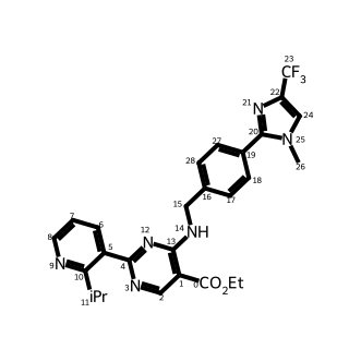 CCOC(=O)c1cnc(-c2cccnc2C(C)C)nc1NCc1ccc(-c2nc(C(F)(F)F)cn2C)cc1